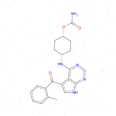 Cc1ccccc1C(=O)c1c[nH]c2ncnc(N[C@H]3CC[C@@H](OC(N)=O)CC3)c12